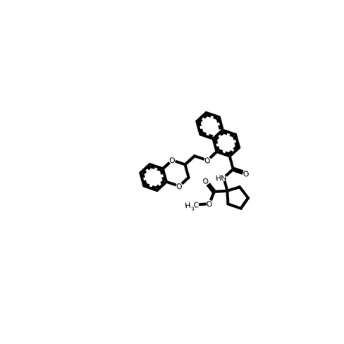 COC(=O)C1(NC(=O)c2ccc3ccccc3c2OCC2COc3ccccc3O2)CCCC1